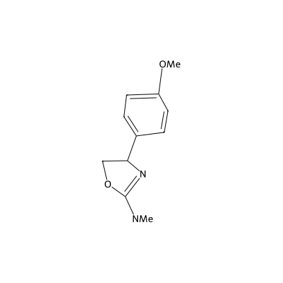 CNC1=NC(c2ccc(OC)cc2)CO1